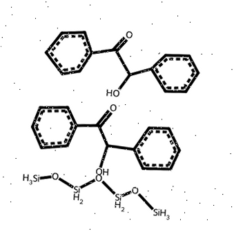 O=C(c1ccccc1)C(O)c1ccccc1.O=C(c1ccccc1)C(O)c1ccccc1.[SiH3]O[SiH2]O[SiH2]O[SiH3]